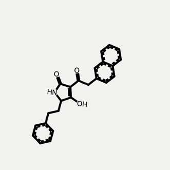 O=C(Cc1ccc2ccccc2c1)C1=C(O)C(CCc2ccccc2)NC1=O